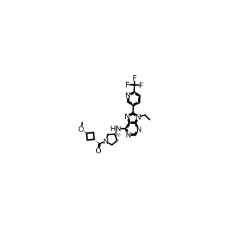 CCn1c(-c2ccc(C(F)(F)F)nc2)nc2c(N[C@H]3CCN(C(=O)[C@H]4C[C@@H](OC)C4)C3)ncnc21